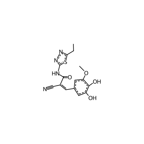 CCc1nnc(NC(=O)C(C#N)=Cc2cc(O)c(O)c(OC)c2)s1